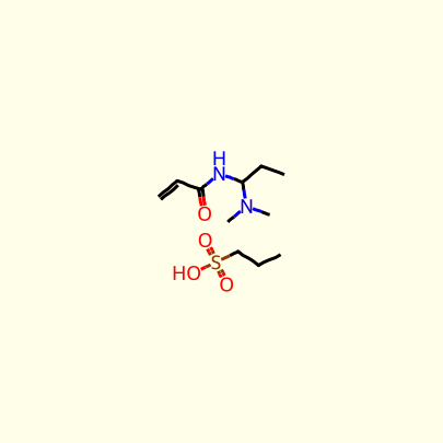 C=CC(=O)NC(CC)N(C)C.CCCS(=O)(=O)O